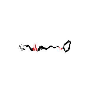 CCCOCCCCCCOc1[c]cccc1